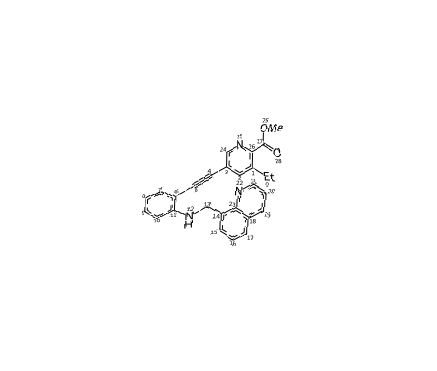 CCc1cc(C#Cc2ccccc2NCc2cccc3cccnc23)cnc1C(=O)OC